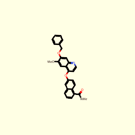 CNC(=O)c1cccc2cc(Oc3ccnc4cc(OCc5ccccc5)c(OC)cc34)ccc12